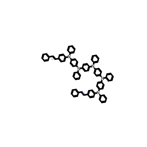 C(=C\c1ccc(N(c2ccccc2)c2ccc(N(c3ccccc3)c3ccc(N(c4ccccc4)c4ccc(N(c5ccccc5)c5ccc(N(c6ccccc6)c6ccc(/C=C/c7ccccc7)cc6)cc5)cc4)cc3)cc2)cc1)/c1ccccc1